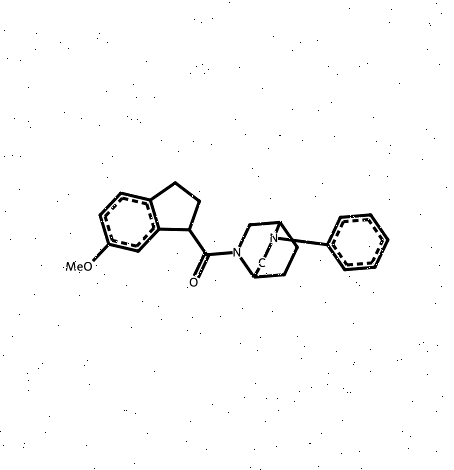 COc1ccc2c(c1)C(C(=O)N1CC3CCC1CN3c1ccccc1)CC2